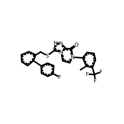 Cc1c(-n2ccn3c(SCc4ccccc4-c4ccc(F)cc4)nnc3c2=O)cccc1C(F)(F)F